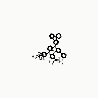 CC(C)(C)c1ccc(N2c3ccc(C(C)(C)C)cc3B3c4cc(-c5ccccc5)ccc4N(c4ccc5c(c4)-c4ccccc4C54CCCCC4)c4cccc2c43)cc1